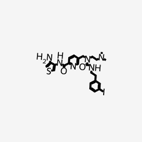 CN(C)CCN(Cc1ccc(C(=O)Nc2cscc2N)nc1)C(=O)NCCc1cccc(I)c1